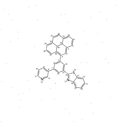 C1=CC2=CC(c3cc(-c4cccnc4)cc(-c4nc5ccccc5s4)c3)=C3C=CC=C4C=CC(=C1)C2C43